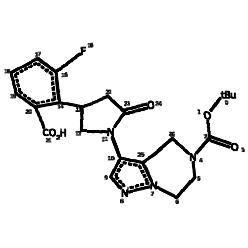 CC(C)(C)OC(=O)N1CCn2ncc(N3CC(c4c(F)cccc4C(=O)O)CC3=O)c2C1